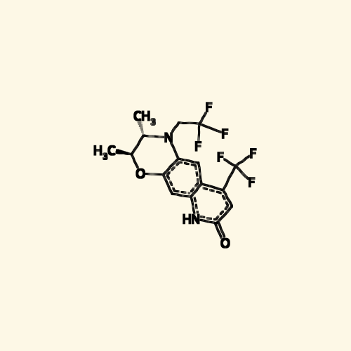 C[C@@H]1Oc2cc3[nH]c(=O)cc(C(F)(F)F)c3cc2N(CC(F)(F)F)[C@H]1C